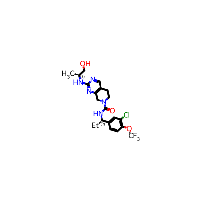 CC[C@@H](NC(=O)N1CCc2cnc(N[C@@H](C)CO)nc2C1)c1ccc(OC(F)(F)F)c(Cl)c1